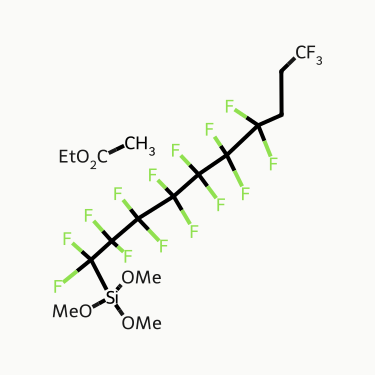 CCOC(C)=O.CO[Si](OC)(OC)C(F)(F)C(F)(F)C(F)(F)C(F)(F)C(F)(F)C(F)(F)C(F)(F)CCC(F)(F)F